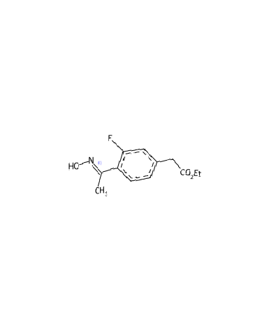 CCOC(=O)Cc1ccc(/C(C)=N/O)c(F)c1